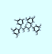 Cc1cc(C)cc(P(c2cc(C)cc(C)c2)C(C)C(C)C(C)P(c2cc(C)cc(C)c2)c2cc(C)cc(C)c2)c1